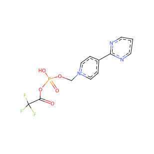 O=C(OP(=O)(O)OC[n+]1ccc(-c2ncccn2)cc1)C(F)(F)F